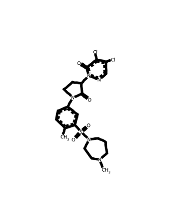 Cc1ccc(N2CCC(n3ncc(Cl)c(Cl)c3=O)C2=O)cc1S(=O)(=O)N1CCCN(C)CC1